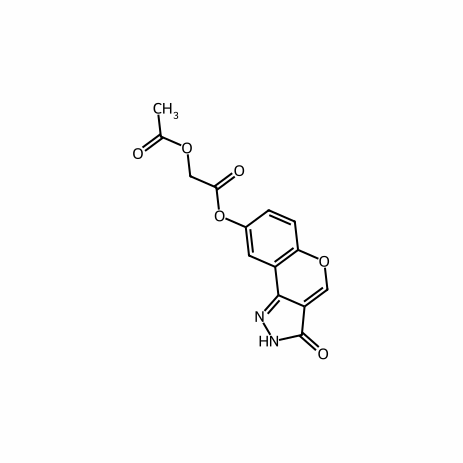 CC(=O)OCC(=O)Oc1ccc2occ3c(=O)[nH]nc-3c2c1